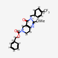 COc1nc2c(c(=O)n1Cc1ccc(C(F)(F)F)cc1)CN(C(=O)OCc1ccccc1)CC2